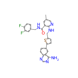 Cc1cnc(NCc2ccc(-c3ccc4ncnc(N)c4c3)s2)c(C(=O)NCc2ccc(F)c(F)c2)c1